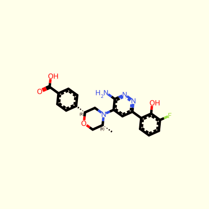 C[C@@H]1CO[C@H](c2ccc(C(=O)O)cc2)CN1c1cc(-c2cccc(F)c2O)nnc1N